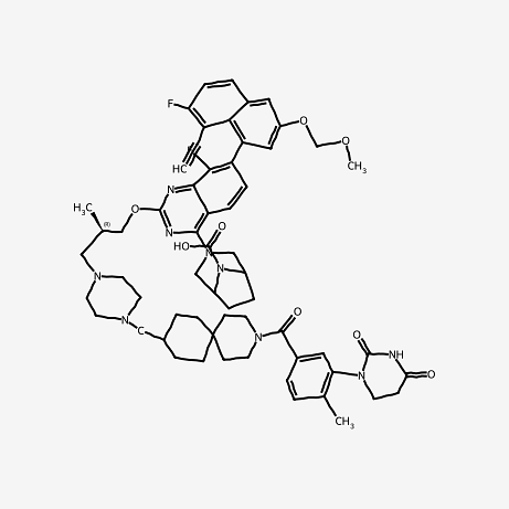 C#Cc1c(F)ccc2cc(OCOC)cc(-c3ccc4c(N5CC6CCC(C5)N6C(=O)O)nc(OC[C@H](C)CN5CCN(CC6CCC7(CC6)CCN(C(=O)c6ccc(C)c(N8CCC(=O)NC8=O)c6)CC7)CC5)nc4c3F)c12